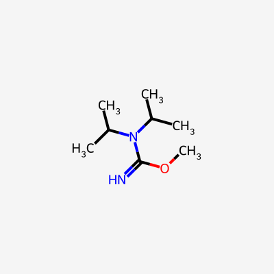 COC(=N)N(C(C)C)C(C)C